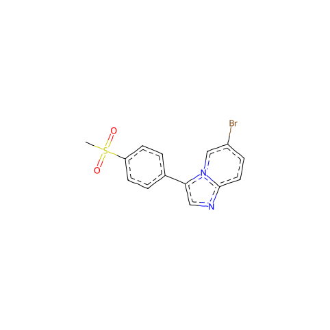 CS(=O)(=O)c1ccc(-c2cnc3ccc(Br)cn23)cc1